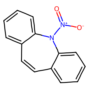 O=[N+]([O-])N1c2ccccc2C=Cc2ccccc21